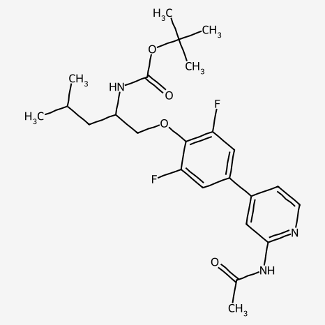 CC(=O)Nc1cc(-c2cc(F)c(OCC(CC(C)C)NC(=O)OC(C)(C)C)c(F)c2)ccn1